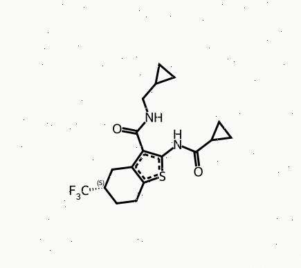 O=C(NCC1CC1)c1c(NC(=O)C2CC2)sc2c1C[C@@H](C(F)(F)F)CC2